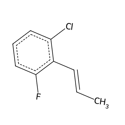 CC=Cc1c(F)cccc1Cl